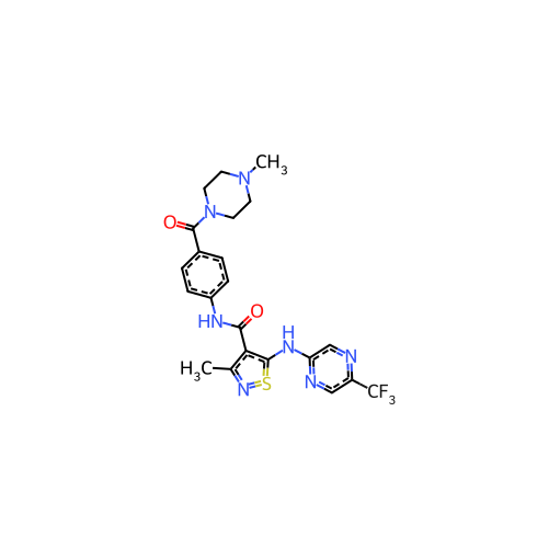 Cc1nsc(Nc2cnc(C(F)(F)F)cn2)c1C(=O)Nc1ccc(C(=O)N2CCN(C)CC2)cc1